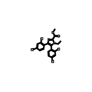 CCn1c(C(=O)OC)nc(-c2ccc(Cl)cc2Cl)c1-c1ccc(Cl)cc1Cl